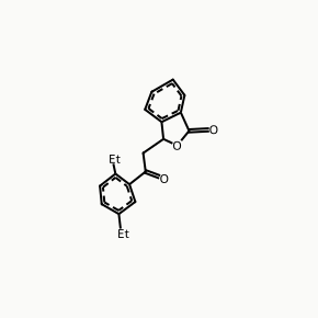 CCc1ccc(CC)c(C(=O)CC2OC(=O)c3ccccc32)c1